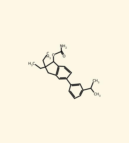 CCC1(CC)Cc2cc(-c3cccc(C(C)C)c3)ccc2C1OC(N)=O